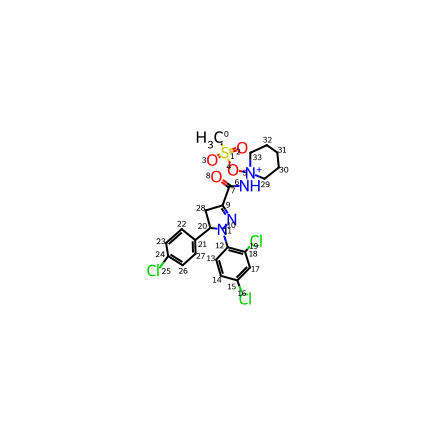 CS(=O)(=O)O[N+]1(NC(=O)C2=NN(c3ccc(Cl)cc3Cl)C(c3ccc(Cl)cc3)C2)CCCCC1